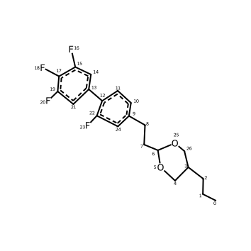 CCCC1COC(CCc2ccc(-c3cc(F)c(F)c(F)c3)c(F)c2)OC1